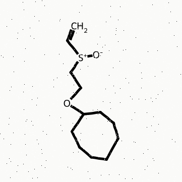 C=C[S+]([O-])CCOC1CCCCCCC1